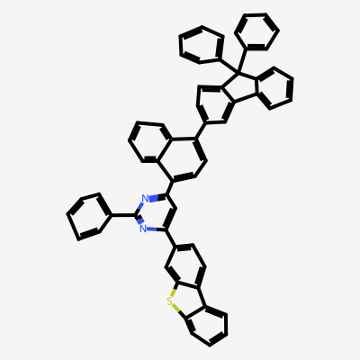 c1ccc(-c2nc(-c3ccc4c(c3)sc3ccccc34)cc(-c3ccc(-c4ccc5c(c4)-c4ccccc4C5(c4ccccc4)c4ccccc4)c4ccccc34)n2)cc1